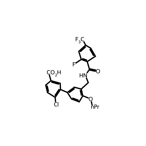 CCCOc1ccc(-c2cc(C(=O)O)ccc2Cl)cc1CNC(=O)c1ccc(C(F)(F)F)cc1F